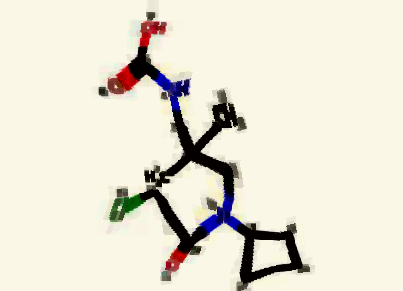 CC(C)(CNC(=O)O)CN(C(=O)CCl)C1CCC1